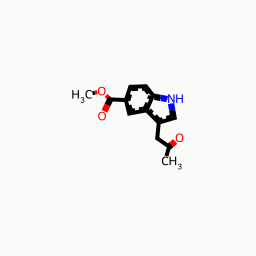 COC(=O)c1ccc2[nH]cc(CC(C)=O)c2c1